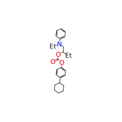 CCC(CN(CC)c1ccccc1)OC(=O)Oc1ccc(C2CCCCC2)cc1